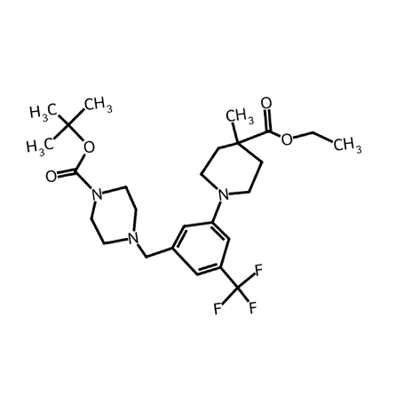 CCOC(=O)C1(C)CCN(c2cc(CN3CCN(C(=O)OC(C)(C)C)CC3)cc(C(F)(F)F)c2)CC1